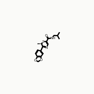 CC(C)CNC(=O)C1=CN=C(c2ccc3c(c2)OCO3)[C@@H](C)S1